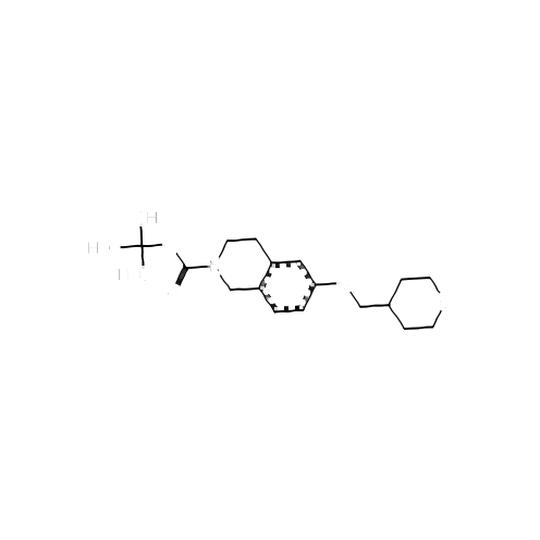 CC(C)(C)OC(=O)N1CCc2cc(OCC3CCOCC3)ccc2C1